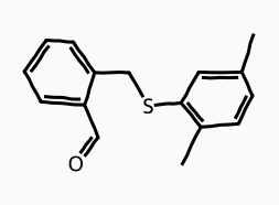 Cc1ccc(C)c(SCc2ccccc2C=O)c1